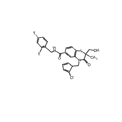 CC1(CO)Sc2ccc(C(=O)NCc3ccc(F)cc3F)cc2N(CC2C=CC=C2Cl)C1=O